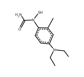 CCN(CC)c1ccc(N(S)C(N)=O)c(C)c1